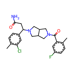 Cc1ccc(C(CC(N)=O)N2CC3CN(C(=O)c4cc(F)ccc4C)CC3C2)cc1Cl